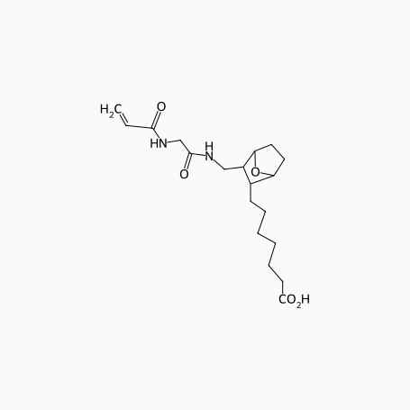 C=CC(=O)NCC(=O)NCC1C2CCC(O2)C1CCCCCCC(=O)O